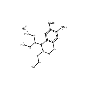 COc1cc2c(cc1OC)C(C(CO)CO)N(CCO)CC2.Cl